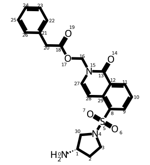 N[C@H]1CCN(S(=O)(=O)c2cccc3c(=O)n(COC(=O)Cc4ccccc4)ccc23)C1